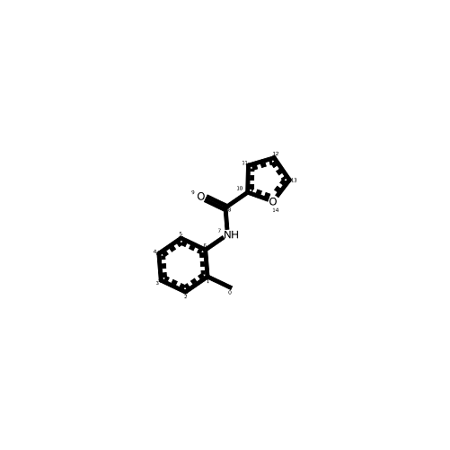 Cc1ccccc1NC(=O)c1ccco1